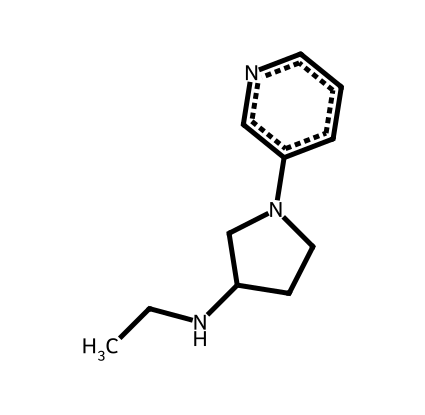 CCNC1CCN(c2cccnc2)C1